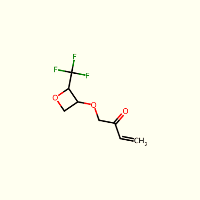 C=CC(=O)COC1COC1C(F)(F)F